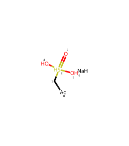 CC(=O)C[SH](=O)(O)O.[NaH]